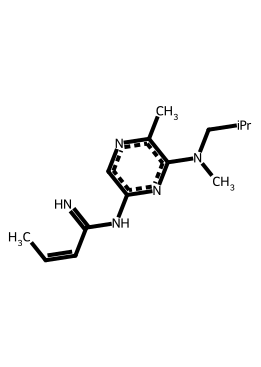 C/C=C\C(=N)Nc1cnc(C)c(N(C)CC(C)C)n1